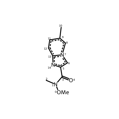 CON(C)C(=O)c1cn2cc(C)ccc2n1